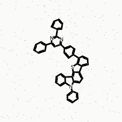 c1ccc(-c2cc(-c3ccc(-c4cccc5c4sc4c5ccc5c4c4ccccc4n5-c4ccccc4)cc3)nc(-c3ccccc3)n2)cc1